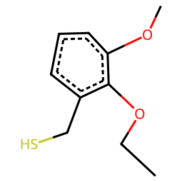 CCOc1c(CS)cccc1OC